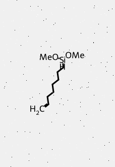 C=CCCCCCC[SiH](OC)OC